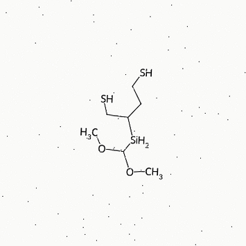 COC(OC)[SiH2]C(CS)CCS